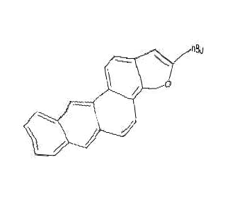 CCCCc1cc2ccc3c4cc5ccccc5cc4ccc3c2o1